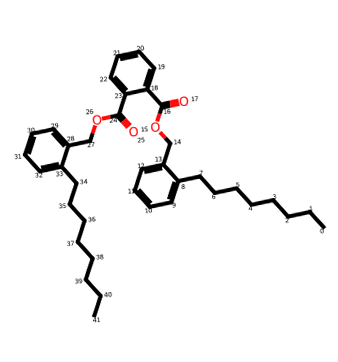 CCCCCCCCc1ccccc1COC(=O)c1ccccc1C(=O)OCc1ccccc1CCCCCCCC